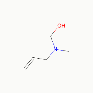 C=CCN(C)CO